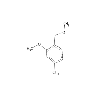 COCc1ccc(C)cc1OC